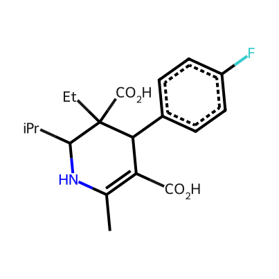 CCC1(C(=O)O)C(c2ccc(F)cc2)C(C(=O)O)=C(C)NC1C(C)C